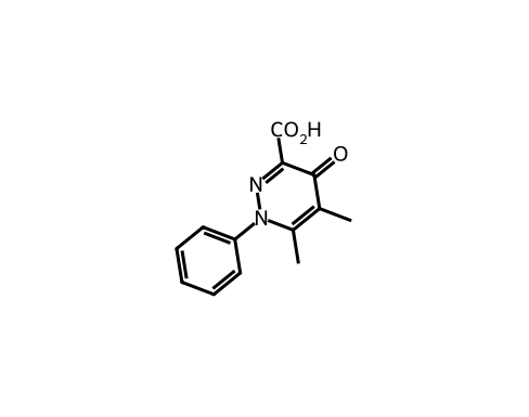 Cc1c(C)n(-c2ccccc2)nc(C(=O)O)c1=O